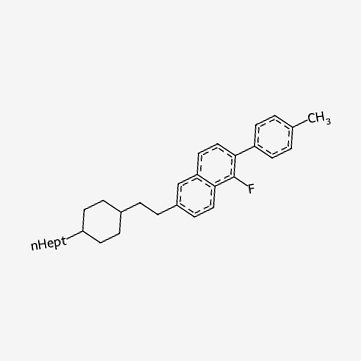 CCCCCCCC1CCC(CCc2ccc3c(F)c(-c4ccc(C)cc4)ccc3c2)CC1